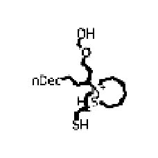 CCCCCCCCCCCCC(CCOCO)[N+]1(CCCS)CCCCCC[SiH2]1